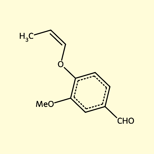 C/C=C\Oc1ccc(C=O)cc1OC